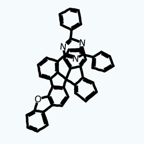 c1ccc(-c2nc(-c3ccccc3)nc(-c3cccc4c3C3(c5ccccc5-c5ccccc53)c3ccc5c(oc6ccccc65)c3-4)n2)cc1